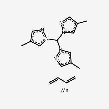 C=CC=C.Cc1cnn(C(n2cc(C)cn2)n2cc(C)cn2)c1.[Mn]